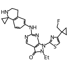 CCn1c(=O)c2cnc(Nc3ccc4c(c3)CCNC43CC3)nc2n1-c1nc(C2(CF)CC2)cs1